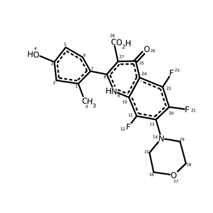 Cc1cc(O)ccc1-c1[nH]c2c(F)c(N3CCOCC3)c(F)c(F)c2c(=O)c1C(=O)O